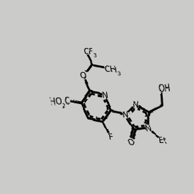 CCn1c(CO)nn(-c2nc(OC(C)C(F)(F)F)c(C(=O)O)cc2F)c1=O